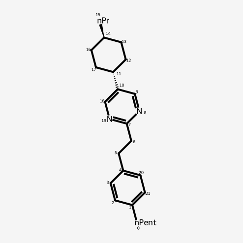 CCCCCc1ccc(CCc2ncc([C@H]3CC[C@H](CCC)CC3)cn2)cc1